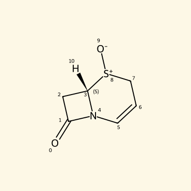 O=C1C[C@H]2N1C=CC[S+]2[O-]